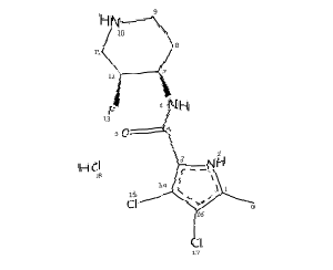 Cc1[nH]c(C(=O)N[C@@H]2CCNC[C@@H]2F)c(Cl)c1Cl.Cl